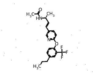 CCCc1ccc(Oc2ccc(/C=C/[C@H](C)NC(C)=O)cn2)c(C(F)(F)F)c1